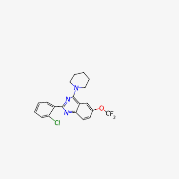 FC(F)(F)Oc1ccc2nc(-c3ccccc3Cl)nc(N3CCCCC3)c2c1